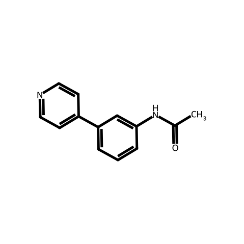 CC(=O)Nc1cccc(-c2ccncc2)c1